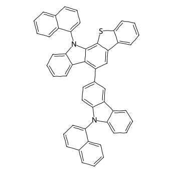 c1ccc2c(-n3c4ccccc4c4cc(-c5cc6c7ccccc7sc6c6c5c5ccccc5n6-c5cccc6ccccc56)ccc43)cccc2c1